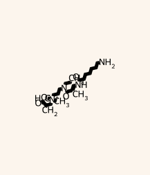 C=C(C[N+](C)(C)CCCN(CCC)C(=O)C(C)=CNC(=O)CCCCCCN)C(=O)[O-]